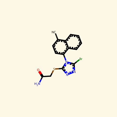 N#Cc1ccc(-n2c(Br)nnc2SCC(N)=O)c2ccccc12